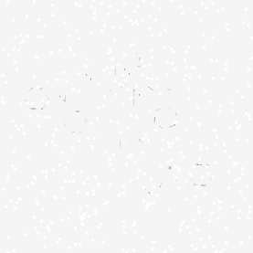 C=CCC1(CC(C)C)C(=O)NC(=O)NC1=O.CC(C)Cc1ccc(C(C)C(=O)O)cc1.CC(CN1c2ccccc2Sc2ccccc21)N(C)C.COc1cccc([C@@]2(O)CCCC[C@@H]2CN(C)C)c1